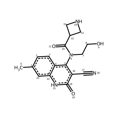 Cc1ccc2c(N(CCO)C(=O)C3CNC3)c(C#N)c(=O)[nH]c2c1